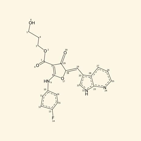 O=C(OCCCO)C1=C(Nc2ccc(F)cc2)O/C(=C\c2c[nH]c3ncccc23)C1=O